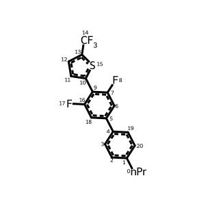 CCCc1ccc(-c2cc(F)c(-c3ccc(C(F)(F)F)s3)c(F)c2)cc1